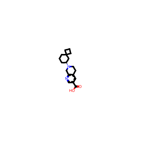 O=C(O)c1cnc2c(c1)CCN([C@@H]1CCCC3(CCC3)C1)C2